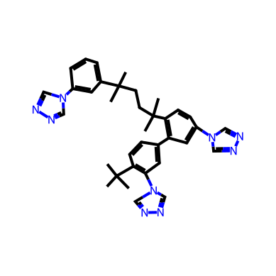 CC(C)(C)c1ccc(-c2cc(-n3cnnc3)ccc2C(C)(C)CCC(C)(C)c2cccc(-n3cnnc3)c2)cc1-n1cnnc1